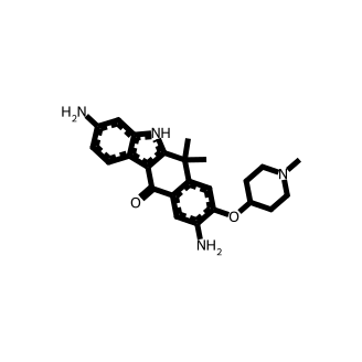 CN1CCC(Oc2cc3c(cc2N)C(=O)c2c([nH]c4cc(N)ccc24)C3(C)C)CC1